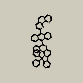 c1ccc(C2(c3ccccc3)c3ccccc3-c3ccc4nc(-c5c6ccccc6c(-c6ccc7ccc8cccnc8c7n6)c6ccccc56)c5ccccc5c4c32)cc1